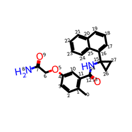 Cc1ccc(OCC(N)=O)cc1C(=O)NC1(c2cccc3ccccc23)CC1